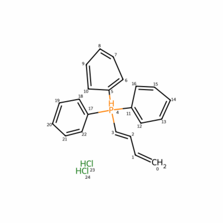 C=CC=C[PH](c1ccccc1)(c1ccccc1)c1ccccc1.Cl.Cl